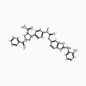 CN(C(=O)Cc1ccc2nc(Nc3ccccc3Cl)oc2c1)c1ccc(C2CN(C(=O)c3ccccc3)CC2C(=O)O)cc1